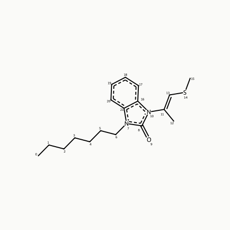 CCCCCCCn1c(=O)n(C(C)=CSC)c2ccccc21